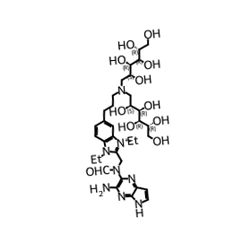 CCn1c(CN(C=O)c2nc3cc[nH]c3nc2N)[n+](CC)c2cc(CCCN(C[C@H](O)[C@@H](O)[C@H](O)[C@H](O)CO)C[C@H](O)[C@@H](O)[C@H](O)[C@H](O)CO)ccc21